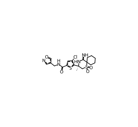 C[C@@]1(c2sc(C(=O)NCc3cnoc3)cc2Cl)CS(=O)(=O)C2(CCCCC2)C(=N)N1